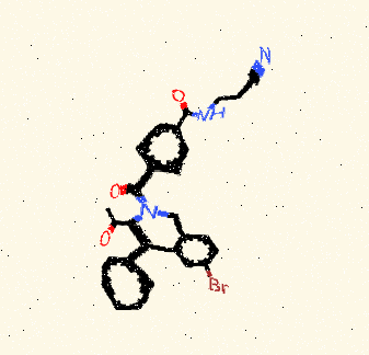 CC(=O)C1=C(c2ccccc2)c2cc(Br)ccc2CN1C(=O)c1ccc(C(=O)NCCC#N)cc1